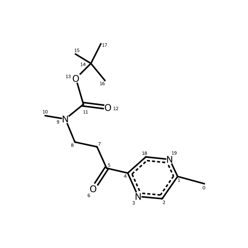 Cc1cnc(C(=O)CCN(C)C(=O)OC(C)(C)C)cn1